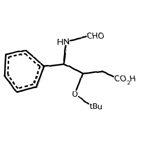 CC(C)(C)OC(CC(=O)O)C(NC=O)c1ccccc1